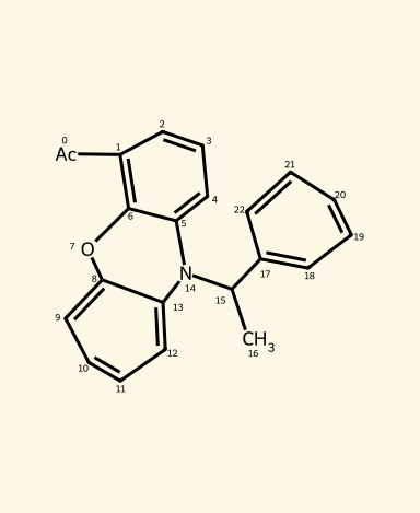 CC(=O)c1cccc2c1Oc1ccccc1N2C(C)c1ccccc1